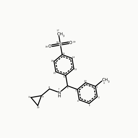 Cc1cccc(C(NCC2CC2)c2ccc(S(C)(=O)=O)cc2)c1